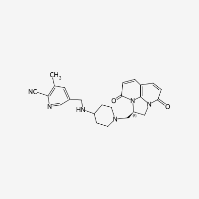 Cc1cc(CNC2CCN(C[C@@H]3Cn4c(=O)ccc5ccc(=O)n3c54)CC2)cnc1C#N